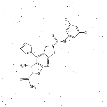 NC(=O)C1Sc2nc3c(c(-c4cccs4)c2C1N)CN(C(=S)Nc1cc(Cl)cc(Cl)c1)C3